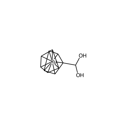 OC(O)[C]12[CH]3[CH]4[CH]5[CH]1[Ru]45321678[CH]2[CH]1[CH]6[CH]7[CH]28